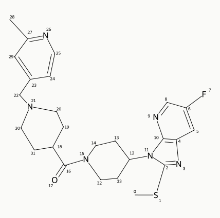 CSc1nc2cc(F)cnc2n1C1CCN(C(=O)C2CCN(Cc3ccnc(C)c3)CC2)CC1